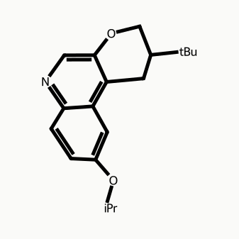 CC(C)Oc1ccc2ncc3c(c2c1)CC(C(C)(C)C)CO3